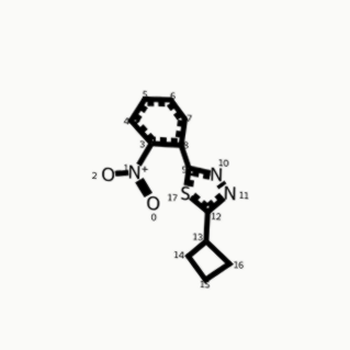 O=[N+]([O-])c1ccccc1-c1nnc(C2CCC2)s1